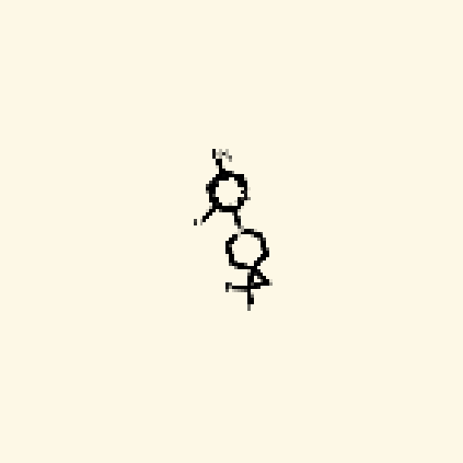 Nc1cnc(N2CCC3(CC2)CC3(F)F)c(Cl)c1